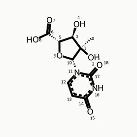 C[C@@]1(O)[C@H](O)[C@@H](C(=O)O)O[C@H]1n1ccc(=O)[nH]c1=O